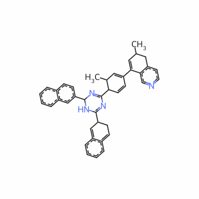 CC1C=C(C2=CC(C)C(C3=NC(c4ccc5ccccc5c4)NC(C4C=c5ccccc5=CC4)=N3)C=C2)c2cnccc2C1